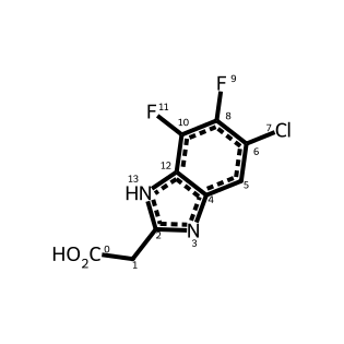 O=C(O)Cc1nc2cc(Cl)c(F)c(F)c2[nH]1